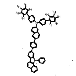 [2H]c1c([2H])c([2H])c(-c2ccc(N(c3ccc(-c4c([2H])c([2H])c([2H])c([2H])c4[2H])cc3)c3ccc4cc(-c5ccc(-c6ccc7c8ccc9ccccc9c8n(-c8ccccc8)c7c6)cc5)ccc4c3)cc2)c([2H])c1[2H]